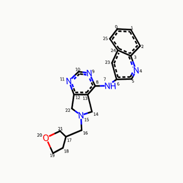 c1ccc2ncc(Nc3ncnc4c3CN(CC3CCOC3)C4)cc2c1